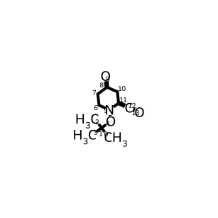 CC(C)(C)ON1CCC(=O)CC1=C=O